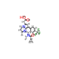 CCN(Cc1cc(C(F)(F)F)ccc1-c1cc(CC(=O)O)n2ccc(C)nc12)C(=O)C1CC1